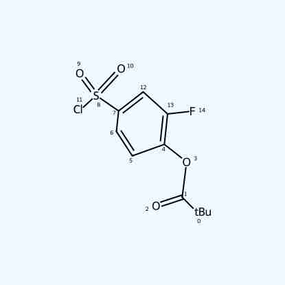 CC(C)(C)C(=O)Oc1ccc(S(=O)(=O)Cl)cc1F